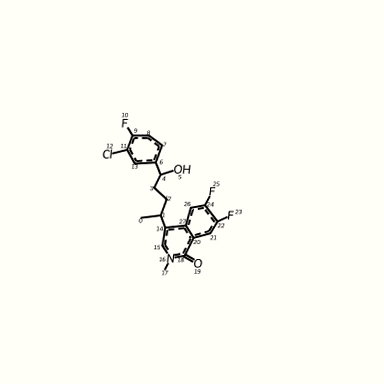 CC([CH]CC(O)c1ccc(F)c(Cl)c1)c1cn(C)c(=O)c2cc(F)c(F)cc12